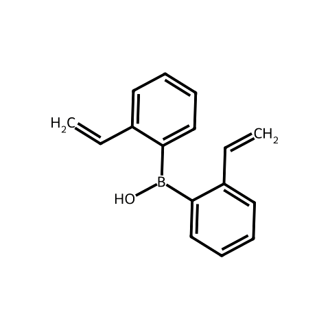 C=Cc1ccccc1B(O)c1ccccc1C=C